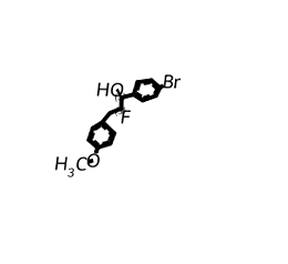 COc1ccc(C[C@H](F)[C@@H](O)c2ccc(Br)cc2)cc1